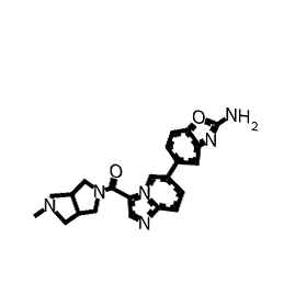 CN1CC2CN(C(=O)c3cnc4ccc(-c5ccc6oc(N)nc6c5)cn34)CC2C1